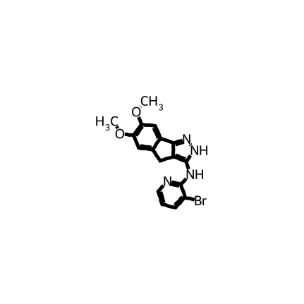 COc1cc2c(cc1OC)-c1n[nH]c(Nc3ncccc3Br)c1C2